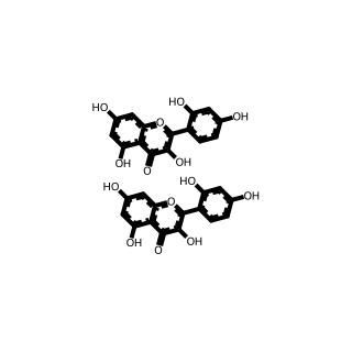 O=c1c(O)c(-c2ccc(O)cc2O)oc2cc(O)cc(O)c12.O=c1c(O)c(-c2ccc(O)cc2O)oc2cc(O)cc(O)c12